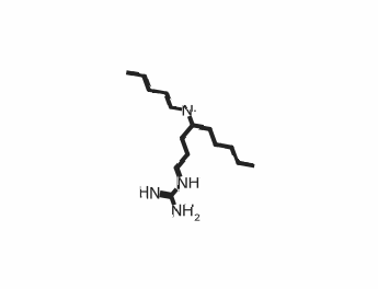 CCCCC[N]C(CCCCC)CCCNC(=N)N